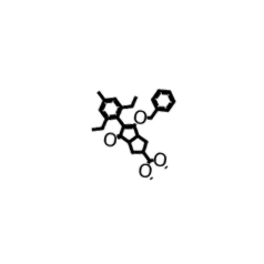 CCc1cc(C)cc(CC)c1C1=C(OCc2ccccc2)C2CC(C(OC)OC)CC2C1=O